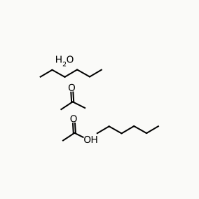 CC(=O)O.CC(C)=O.CCCCCC.CCCCCC.O